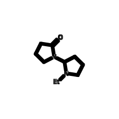 CCN1CCCC1N1CCCC1=O